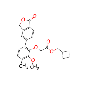 COc1c(C)ccc(-c2ccc3c(c2)COC3=O)c1OCC(=O)OCC1CCC1